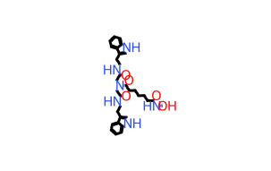 O=C(CCCCCC(=O)N(CC(=O)NCCc1c[nH]c2ccccc12)CC(=O)NCCc1c[nH]c2ccccc12)NO